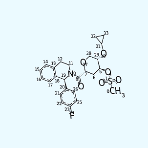 CS(=O)(=O)O[C@H]1C[C@H](C(=O)N2CCc3ccccc3[C@@H]2c2ccc(F)cc2)OC[C@@H]1OC1CC1